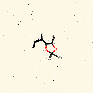 C/C=C(/C)C1OC(C(F)(F)F)(C(F)(F)F)OC1CC